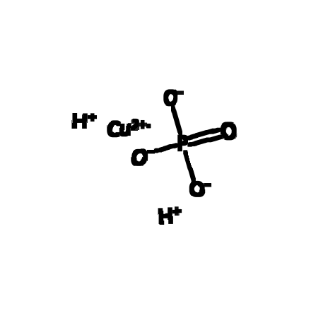 O=P([O-])([O-])[O-].[Cu+2].[H+].[H+]